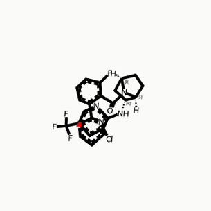 O=C(c1c(F)cccc1-c1ncccn1)N1[C@@H]2CC[C@H]1[C@H](Nc1ncc(C(F)(F)F)cc1Cl)C2